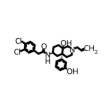 C=CCN1CC[C@@]2(c3cccc(O)c3)C[C@@H](NC(=O)Cc3ccc(Cl)c(Cl)c3)CC[C@]2(O)C1